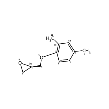 Cc1ccc(OC[C@H]2CO2)c(C)c1